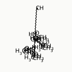 C#CCCCCCCCCCCCCCCCCCC(=O)NCCNC(=O)C(CCCCN(CCCNC(=O)OC(C)(C)C)CCCNC(=O)OC(C)(C)C)N(CCCNC(=O)OC(C)(C)C)C(=O)OC(C)(C)C